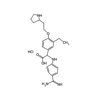 CCc1cc(C(Nc2ccc(C(=N)N)cc2)C(=O)O)ccc1OCCC1CCCN1.Cl